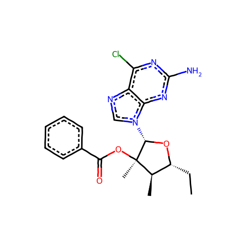 CC[C@H]1O[C@@H](n2cnc3c(Cl)nc(N)nc32)[C@](C)(OC(=O)c2ccccc2)[C@@H]1C